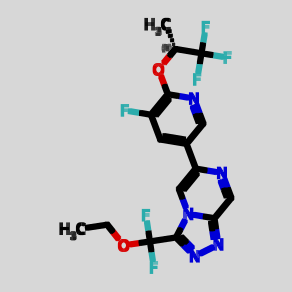 CCOC(F)(F)c1nnc2cnc(-c3cnc(O[C@H](C)C(F)(F)F)c(F)c3)cn12